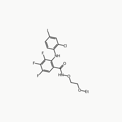 CCOCCONC(=O)c1cc(F)c(F)c(F)c1Nc1ccc(I)cc1Cl